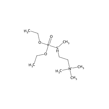 CCOP(=O)(OCC)[SH](C)CC[N+](C)(C)C